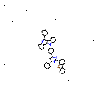 CC1C(c2ccc(-n3c4ccccc4c4c(-c5ccccc5)nc5ccccc5c43)cc2)=NC(c2cccc3c2sc2ccccc23)=NC1c1ccccc1